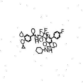 COc1cc(C(=O)NC[C@](O)(c2cc3c(c(-c4ccc(F)cc4)n2)OC[C@]3(C)C(=O)NC2CCCCC2)C(F)(F)F)ccc1OC1CC1